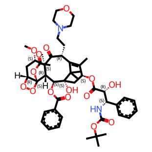 CO[C@H]1C[C@H]2OO[C@@]2(OC(C)=O)[C@H]2[C@H](OC(=O)c3ccccc3)[C@]3(O)C[C@H](OC(=O)[C@H](O)[C@@H](NC(=O)OC(C)(C)C)c4ccccc4)C(C)=C([C@@H](CCN4CCOCC4)C(=O)[C@]12C)C3(C)C